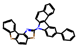 c1ccc(-c2ccc3c(c2)c2c4ccccc4ccc2n3-c2nc3c(ccc4sc5ccccc5c43)s2)cc1